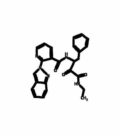 CCNC(=O)C(=O)C(Cc1ccccc1)NC(=O)c1cccnc1-n1cc2ccccc2n1